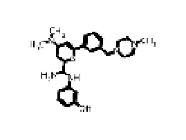 CN1CCN(Cc2cccc(C3=CC(N(C)C)CC(C(N)Nc4cccc(O)c4)S3)c2)CC1